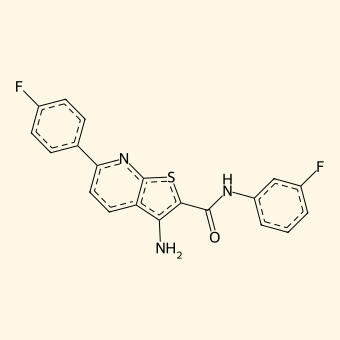 Nc1c(C(=O)Nc2cccc(F)c2)sc2nc(-c3ccc(F)cc3)ccc12